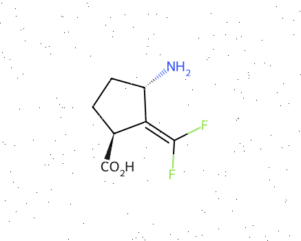 N[C@H]1CC[C@H](C(=O)O)C1=C(F)F